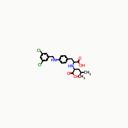 CC(C)CC(NC(Cc1ccc(NCc2cc(Cl)cc(Cl)c2)cc1)C(=O)O)C(=O)O